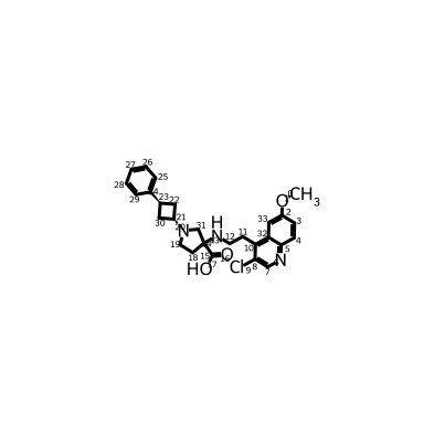 COc1ccc2ncc(Cl)c(CCNC3(C(=O)O)CCN([C@H]4C[C@H](c5ccccc5)C4)C3)c2c1